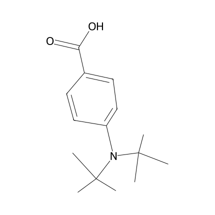 CC(C)(C)N(c1ccc(C(=O)O)cc1)C(C)(C)C